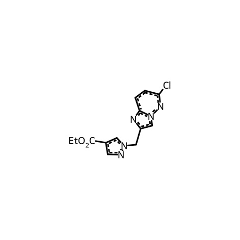 CCOC(=O)c1cnn(Cc2cn3nc(Cl)ccc3n2)c1